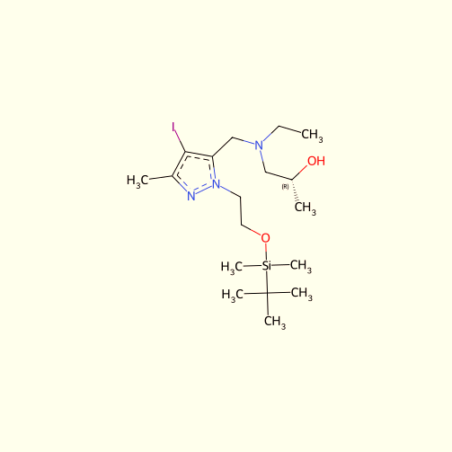 CCN(Cc1c(I)c(C)nn1CCO[Si](C)(C)C(C)(C)C)C[C@@H](C)O